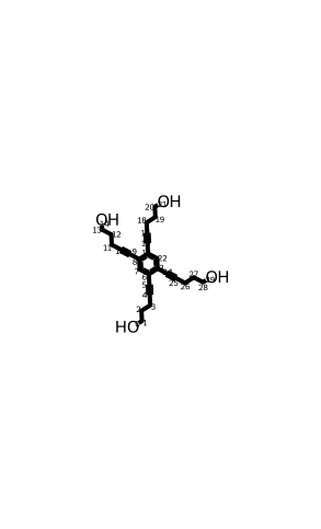 OCCCC#Cc1cc(C#CCCCO)c(C#CCCCO)cc1C#CCCCO